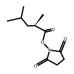 CC(C)C[C@@H](C)C(=O)ON1C(=O)CCC1=O